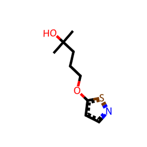 CC(C)(O)CCCOc1ccns1